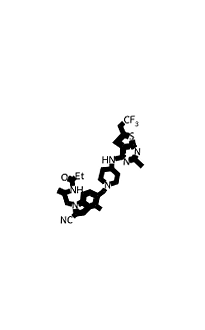 C=C(Cn1c(C#N)cc2c(C)c(CN3CCC(Nc4nc(C)nc5sc(CC(F)(F)F)cc45)CC3)ccc21)NC(=O)CC